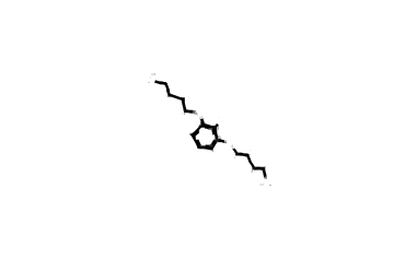 Cc1c(OCCCCBr)cccc1OCCCCBr